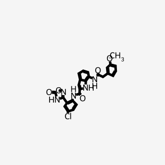 COc1cccc(CC(=O)Nc2cccc3cc(C(=O)Nc4ccc(Cl)cc4-c4noc(=O)[nH]4)[nH]c23)c1